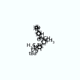 Cn1c(=O)n(CC(C)(C)C)c2ccc(C3CCC(C)(C)C(NC(=O)c4ccc(-n5cccn5)cc4)C3)nc21